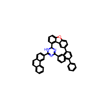 c1ccc(C2=NC(c3cccc4oc5ccc(-c6ccc(-c7ccccc7)cc6)cc5c34)NC(c3ccc4ccc5ccccc5c4c3)=N2)cc1